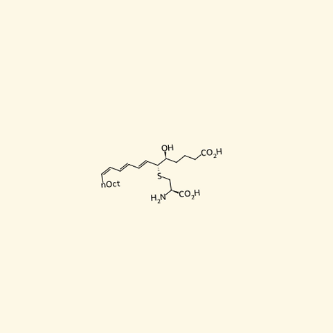 CCCCCCCC\C=C/C=C/C=C/[C@@H](SC[C@H](N)C(=O)O)[C@@H](O)CCCC(=O)O